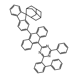 c1ccc(-c2nc(-c3ccccc3-c3ccccc3)nc(-c3c4ccccc4c(-c4ccc5c(c4)C4(c6ccccc6-5)C5CC6CC(C5)CC4C6)c4ccccc34)n2)cc1